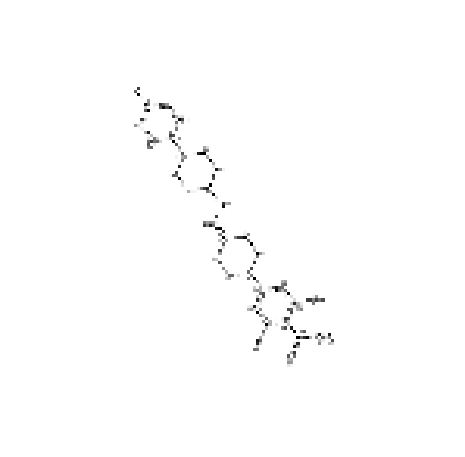 Cc1cnc(N2CCC(ON=C3CCC(c4cc(F)c(C(N)=O)c(F)c4)CC3)CC2)nc1